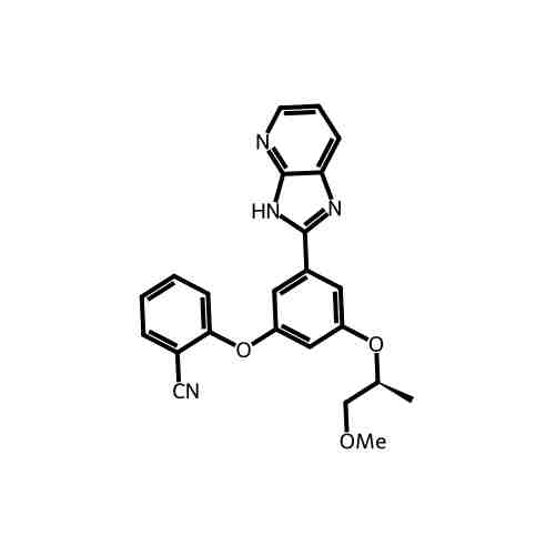 COC[C@H](C)Oc1cc(Oc2ccccc2C#N)cc(-c2nc3cccnc3[nH]2)c1